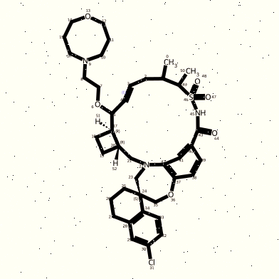 CC1C/C=C/C(OCCN2CCCOCCC2)[C@@H]2CC[C@H]2CN2C[C@@]3(CCCc4cc(Cl)ccc43)COc3ccc(cc32)C(=O)NS(=O)(=O)C1C